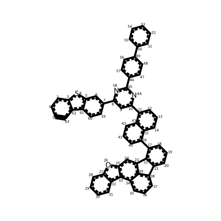 c1ccc2sc3cc(-c4cc(-c5cccc6c(-c7cccc8c7-c7cc9oc%10ccccc%10c9c9cccc-8c79)cccc56)nc(-c5ccc(-c6ccccc6)cc5)n4)ccc3c2c#1